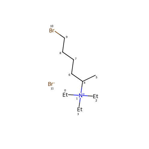 CC[N+](CC)(CC)C(C)CCCCBr.[Br-]